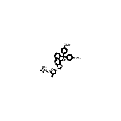 C=C1C[C@@H](n2cnc3c(NC(c4ccccc4)(c4ccc(OC)cc4)c4ccc(OC)cc4)ncnc32)O[C@H]1CO[Si](C)(C)C(C)(C)C